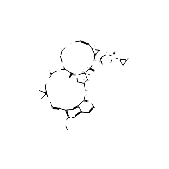 COc1cc2ccnc3c2cc1/C=C/CC(C)(C)COC(=O)N[C@H]1CCCCC/C=C\[C@@H]2C[C@@]2(C(=O)NS(=O)(=O)C2CC2)NC(=O)[C@@H]2C[C@H](CN2C1=O)O3